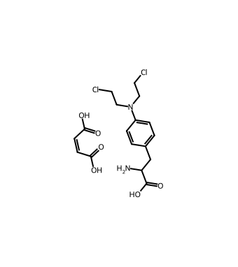 NC(Cc1ccc(N(CCCl)CCCl)cc1)C(=O)O.O=C(O)/C=C\C(=O)O